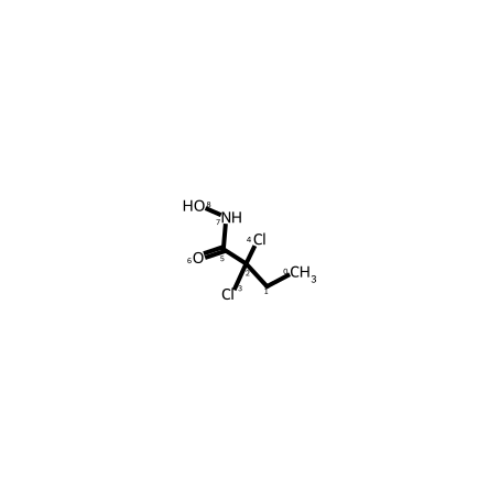 CCC(Cl)(Cl)C(=O)NO